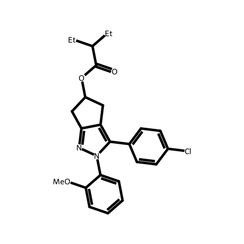 CCC(CC)C(=O)OC1Cc2nn(-c3ccccc3OC)c(-c3ccc(Cl)cc3)c2C1